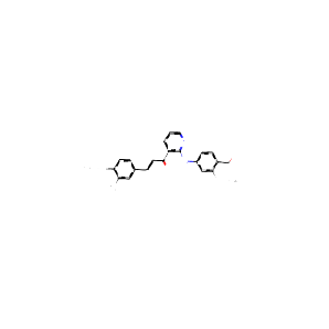 COc1cc(Nc2ncccc2C(=O)/C=C/c2ccc(OC)c([N+](=O)[O-])c2)ccc1CO